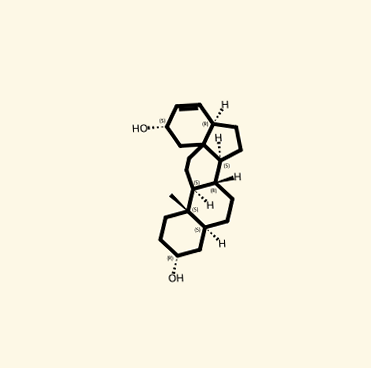 C[C@]12CC[C@@H](O)C[C@@H]1CC[C@H]1[C@@H]3CC[C@@H]4C=C[C@@H](O)CC43CC[C@@H]12